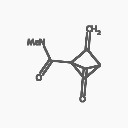 C=C1C2CC1(C(=O)NC)C2=O